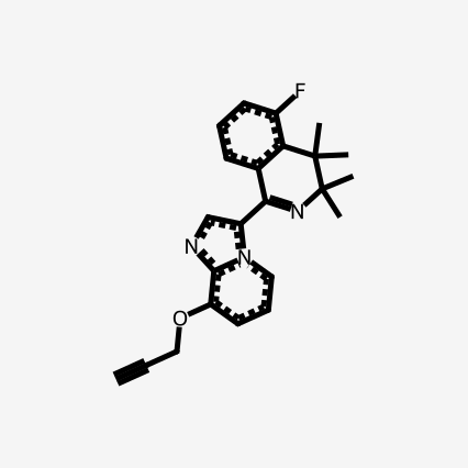 C#CCOc1cccn2c(C3=NC(C)(C)C(C)(C)c4c(F)cccc43)cnc12